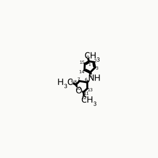 Cc1ccc(NC2CC(C)OC(C)C2)cc1